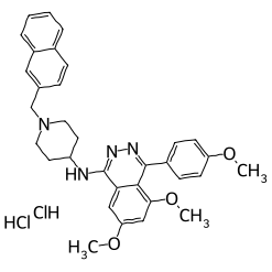 COc1ccc(-c2nnc(NC3CCN(Cc4ccc5ccccc5c4)CC3)c3cc(OC)cc(OC)c23)cc1.Cl.Cl